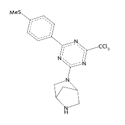 CSc1ccc(-c2nc(N3CC4CC3CN4)nc(C(Cl)(Cl)Cl)n2)cc1